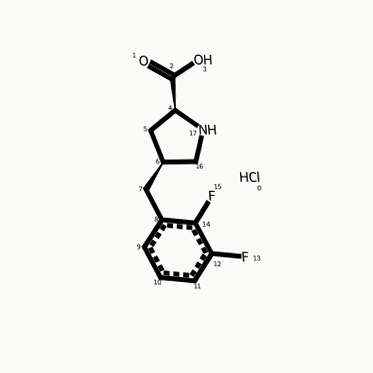 Cl.O=C(O)[C@@H]1C[C@H](Cc2cccc(F)c2F)CN1